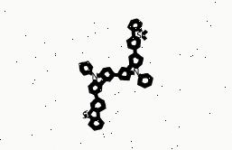 C[Si]1(C)c2ccccc2-c2ccc(-c3ccc4c(c3)c3cc(-c5ccc6c(c5)c5cc(-c7ccc8c(c7)[Si](C)(C)c7ccccc7-8)ccc5n6-c5ccccc5)ccc3n4-c3ccccc3)cc21